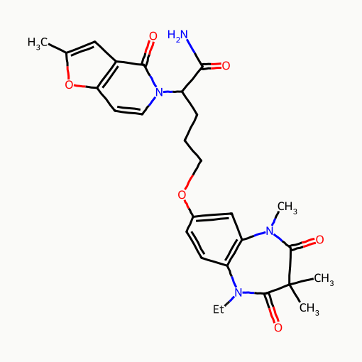 CCN1C(=O)C(C)(C)C(=O)N(C)c2cc(OCCCC(C(N)=O)n3ccc4oc(C)cc4c3=O)ccc21